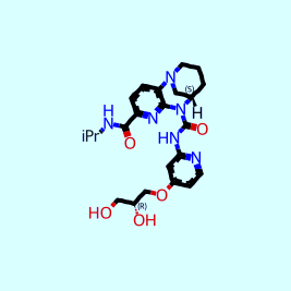 CC(C)NC(=O)c1ccc2c(n1)N(C(=O)Nc1cc(OC[C@H](O)CO)ccn1)[C@H]1CCCN2C1